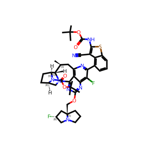 C[C@H]1Cc2nc(-c3cccc4sc(NC(=O)OC(C)(C)C)c(C#N)c34)c(F)c3nc(OC[C@@]45CCCN4C[C@H](F)C5)nc(c23)N2C[C@H]3CC[C@@H]([C@H]12)N3C(=O)OC(C)(C)C